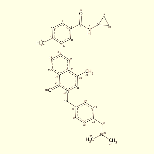 Cc1ccc(C(=O)NC2CC2)cc1-c1ccc2c(=O)n(Cc3ccc(CN(C)C)cc3)cc(C)c2c1